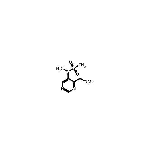 CNCc1ncncc1N(C)S(C)(=O)=O